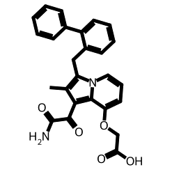 Cc1c(C(=O)C(N)=O)c2c(OCC(=O)O)cccn2c1Cc1ccccc1-c1ccccc1